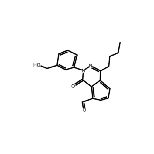 CCCCc1nn(-c2cccc(CO)c2)c(=O)c2c(C=O)cccc12